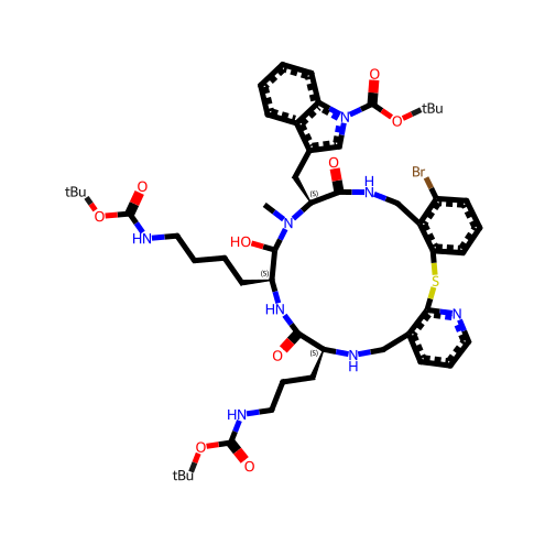 CN1C(O)[C@H](CCCCNC(=O)OC(C)(C)C)NC(=O)[C@H](CCCNC(=O)OC(C)(C)C)NCc2cccnc2Sc2cccc(Br)c2CNC(=O)[C@@H]1Cc1cn(C(=O)OC(C)(C)C)c2ccccc12